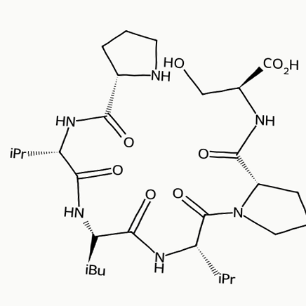 CC[C@H](C)[C@H](NC(=O)[C@@H](NC(=O)[C@@H]1CCCN1)C(C)C)C(=O)N[C@H](C(=O)N1CCC[C@H]1C(=O)N[C@@H](CO)C(=O)O)C(C)C